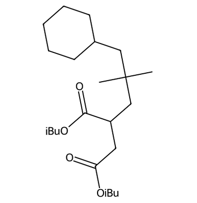 CC(C)COC(=O)CC(CC(C)(C)CC1CCCCC1)C(=O)OCC(C)C